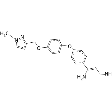 Cn1ccc(COc2ccc(Oc3ccc(/C(N)=C/C=N)cc3)cc2)n1